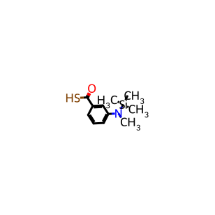 CN(c1cccc(C(=O)S)c1)[Si](C)(C)C